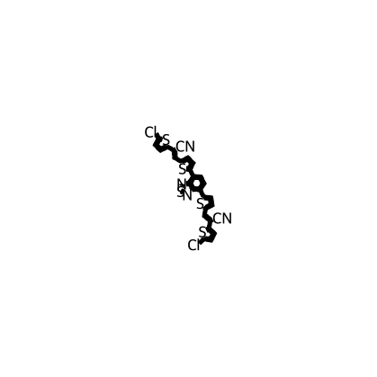 N#C/C(=C\c1ccc(-c2ccc(-c3ccc(/C=C(\C#N)c4ccc(Cl)s4)s3)c3nsnc23)s1)c1ccc(Cl)s1